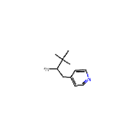 [2H]C(Cc1ccncc1)C(C)(C)C